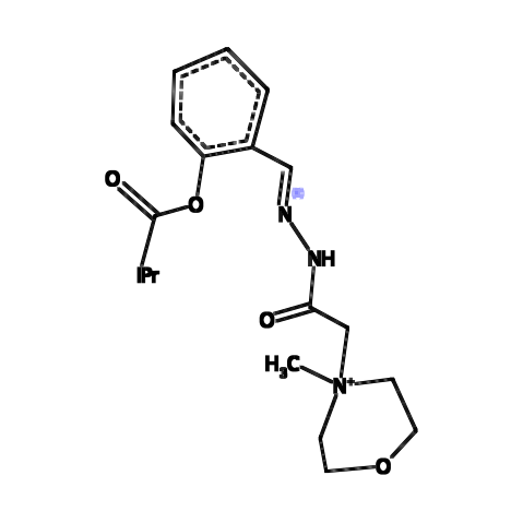 CC(C)C(=O)Oc1ccccc1/C=N/NC(=O)C[N+]1(C)CCOCC1